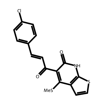 CSc1c(C(=O)/C=C/c2ccc(Cl)cc2)c(=O)[nH]c2sccc12